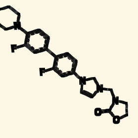 O=C1OCCN1CN1C=CN(c2ccc(-c3ccc(N4CCCCC4)c(F)c3)c(F)c2)C1